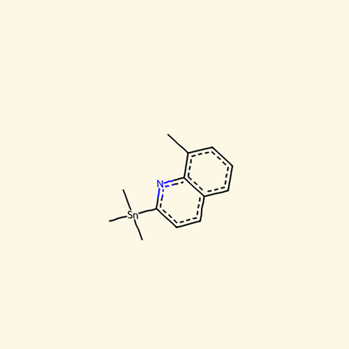 Cc1cccc2cc[c]([Sn]([CH3])([CH3])[CH3])nc12